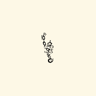 CC(C)c1ccc(-c2ccc(Oc3cc(C(=O)NC4CC5(C4)CN(c4ccccn4)C5)c(F)cc3CN3C[C@@H](C)CC3=O)cc2)nn1